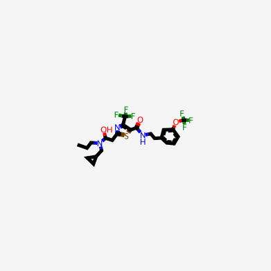 CCCN(CC1CC1)C(O)Cc1nc(C(F)(F)F)c(C(=O)NCCc2cccc(OC(F)(F)F)c2)s1